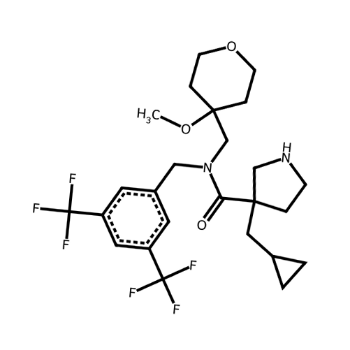 COC1(CN(Cc2cc(C(F)(F)F)cc(C(F)(F)F)c2)C(=O)C2(CC3CC3)CCNC2)CCOCC1